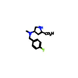 CN(Cc1ccc(F)cc1)C1CNC(C(=O)O)C1